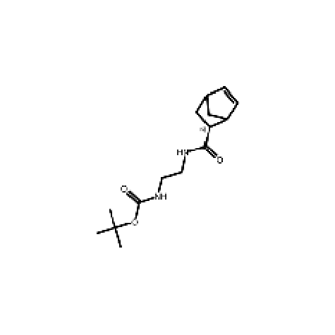 CC(C)(C)OC(=O)NCCNC(=O)[C@H]1CC2C=CC1C2